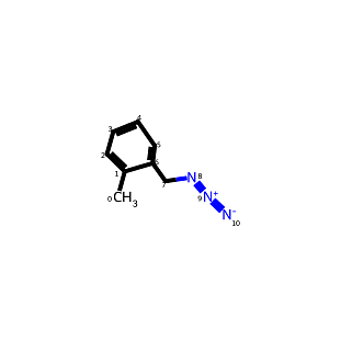 Cc1ccccc1CN=[N+]=[N-]